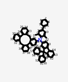 Cc1cc(-c2ccccc2)cc(C)c1N(c1ccc2c(c1)Cc1ccccc1-c1ccccc1Cc1ccccc1-2)c1ccc2c(c1)C(c1ccccc1)(c1ccccc1)c1ccccc1-2